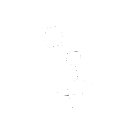 C[C@@H]1CN(C)CCN1[C@@H]1CCN(C(=O)OC(C)(C)C)C1